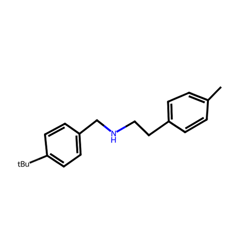 Cc1ccc(CCNCc2ccc(C(C)(C)C)cc2)cc1